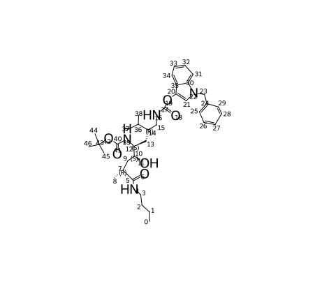 CCCCNC(=O)[C@H](C)C[C@H](O)[C@H](C[C@@H](CNC(=O)Oc1cn(Cc2ccccc2)c2ccccc12)C(C)C)NC(=O)OC(C)(C)C